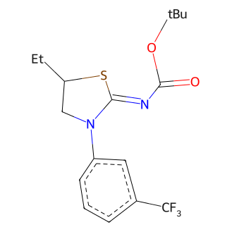 CCC1CN(c2cccc(C(F)(F)F)c2)C(=NC(=O)OC(C)(C)C)S1